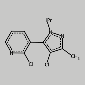 Cc1nn(C(C)C)c(-c2cccnc2Cl)c1Cl